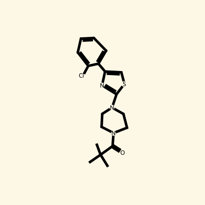 CC(C)(C)C(=O)N1CCN(c2nc(-c3ccccc3Cl)cs2)CC1